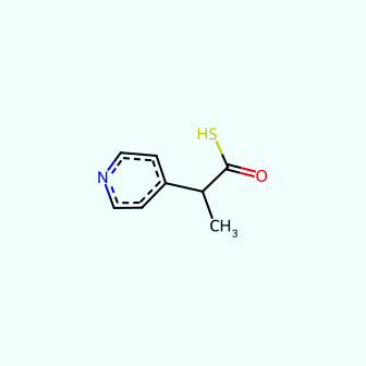 CC(C(=O)S)c1ccncc1